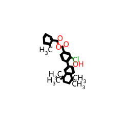 Cc1ccccc1C(=O)OC(=O)c1ccc(-c2cc3c(cc2O)C(C)(C)CCC3(C)C)c(Cl)c1